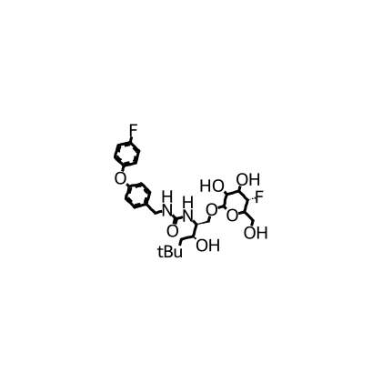 CC(C)(C)C[C@@H](O)[C@H](COC1OC(CO)[C@@H](F)C(O)C1O)NC(=O)NCc1ccc(Oc2ccc(F)cc2)cc1